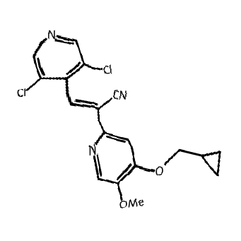 COc1cnc(C(C#N)=Cc2c(Cl)cncc2Cl)cc1OCC1CC1